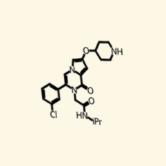 CC(C)NC(=O)Cn1c(-c2cccc(Cl)c2)cn2cc(OC3CCNCC3)cc2c1=O